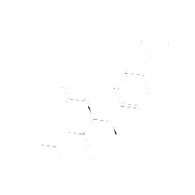 CC(C)OC(=O)[C@@H](NC=O)[C@H](O)c1ccc(S(C)(=O)=O)cc1